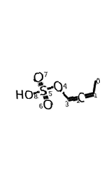 CC=C=COS(=O)(=O)O